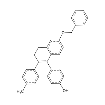 Cc1ccc(C2=C(c3ccc(O)cc3)c3ccc(OCc4ccccc4)cc3CC2)cc1